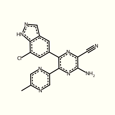 Cc1cnc(-c2nc(N)c(C#N)nc2-c2cc(Cl)c3[nH]ncc3c2)cn1